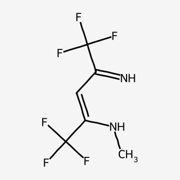 CN/C(=C\C(=N)C(F)(F)F)C(F)(F)F